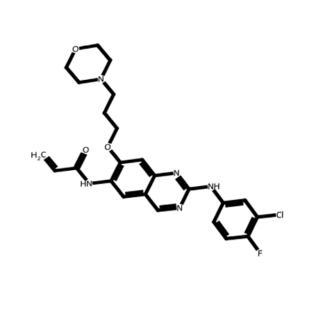 C=CC(=O)Nc1cc2cnc(Nc3ccc(F)c(Cl)c3)nc2cc1OCCCN1CCOCC1